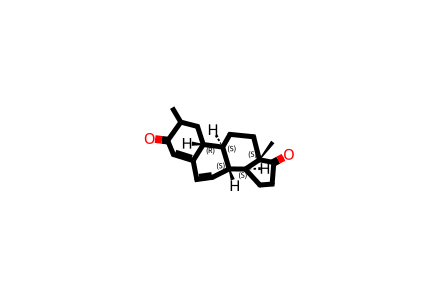 CC1C[C@H]2C(=CC1=O)C=C[C@@H]1[C@@H]2CC[C@]2(C)C(=O)CC[C@@H]12